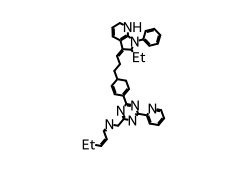 CC/C=C\C=N/Cc1nc(C2=CCC(CC/C=C3/C4=C(NCC=C4)N(c4ccccc4)C3CC)C=C2)nc(-c2ccccn2)n1